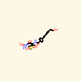 CC(C)([C@H](NC(=O)c1ccc(C#CC#CCCO)cc1)C(=O)NO)S(C)(=O)=O